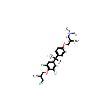 CC(=O)OC(CCl)COc1c(Cl)cc(C(C)(C)c2ccc(OCC(CN(C(C)=O)C(C)=O)OC(C)=O)cc2)cc1Cl